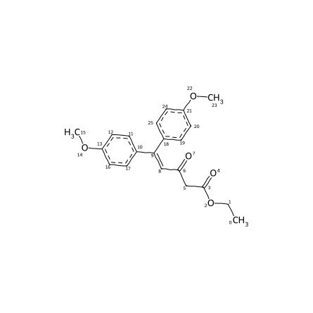 CCOC(=O)CC(=O)C=C(c1ccc(OC)cc1)c1ccc(OC)cc1